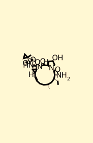 CC[C@@H]1C[C@H](C)CCC=C[C@@H]2C[C@@]2(C(=O)NS(=O)(=O)C2(C)CC2)NC(=O)[C@@H]2C[C@@H](O)CN2C(=O)[C@H]1N